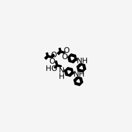 C=C(C)C(=O)OCC(O)CNc1ccc(Nc2ccccc2)cc1.C=C(C)C(=O)Oc1ccc(Nc2ccccc2)cc1